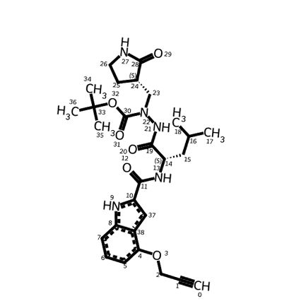 C#CCOc1cccc2[nH]c(C(=O)N[C@@H](CC(C)C)C(=O)NN(C[C@@H]3CCNC3=O)C(=O)OC(C)(C)C)cc12